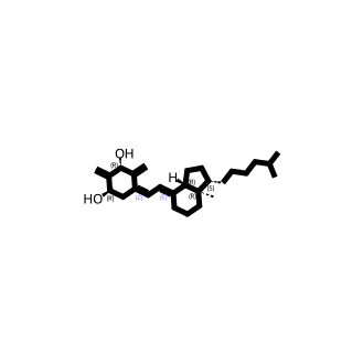 C=C1/C(=C\C=C2/CCC[C@]3(C)[C@@H](CCCCC(C)C)CC[C@@H]23)C[C@@H](O)C(=C)[C@@H]1O